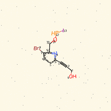 OCC#Cc1ccc(Br)c(COPI)n1